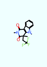 CN1C(=O)c2c(n(C)c3ccccc23)C(C)(CC(F)(F)F)C1=O